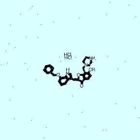 Cl.Cl.O=C1C(=Cc2c[nH]c3c(OCc4ccccc4)cccc23)Oc2c1ccc(O)c2CN1CCNCC1